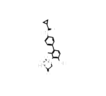 O=C1CN(c2c(O)ccc(-c3ccc(NC(=O)C4CC4)cc3)c2F)S(=O)(=O)N1